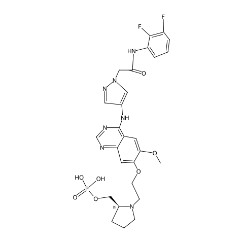 COc1cc2c(Nc3cnn(CC(=O)Nc4cccc(F)c4F)c3)ncnc2cc1OCCN1CCC[C@H]1COP(=O)(O)O